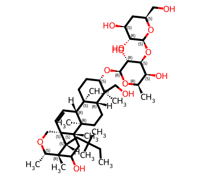 CCC(C)(C)C[C@@H]1[C@]2(C)C(O)C[C@]3(C)[C@@]1(C=C[C@@H]1[C@@]4(C)CC[C@H](O[C@@H]5O[C@H](C)[C@H](O)[C@H](O[C@@H]6O[C@H](CO)C[C@H](O)[C@H]6O)[C@H]5O)[C@@](C)(CO)[C@@H]4CC[C@]13C)CO[C@H]2C